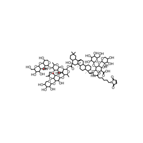 CC(=O)OC1C(C)OC(OC2C(C)OC(OC(=O)[C@@]3(O)C[C@]4(C)C(=CCC5[C@@]6(C)CC[C@H](OC7OC(C(=O)O)C(O)C(OC8OCC(O)C(O)C8O)C7OC7OC(CO)C(O)C(O)C7O)[C@@](C)(/C=N/NC(=O)CCCCCN7C(=O)C=CC7=O)C6CC[C@]54C)C4CC(C)(C)CCC43)C(OC3OC(C)C(OC4OCC(O)C(OC5OC(CO)C(O)C(O)C5O)C4O)C(O)C3O)C2O)C(O)C1OC1OCC(O)C(O)C1O